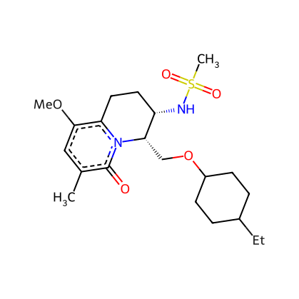 CCC1CCC(OC[C@H]2[C@@H](NS(C)(=O)=O)CCc3c(OC)cc(C)c(=O)n32)CC1